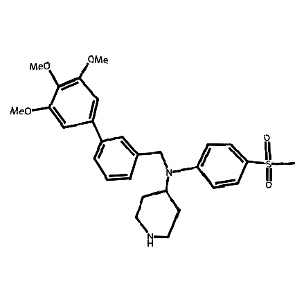 COc1cc(-c2cccc(CN(c3ccc(S(C)(=O)=O)cc3)C3CCNCC3)c2)cc(OC)c1OC